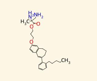 CCCCCc1ccccc1C1=Cc2ccc(OCCCOC(=O)C(C)(N)CN)cc2CCC1